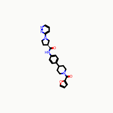 O=C(Nc1ccc(C2CCN(C(=O)c3ccco3)CC2)cc1)[C@H]1CCN(c2cccnn2)C1